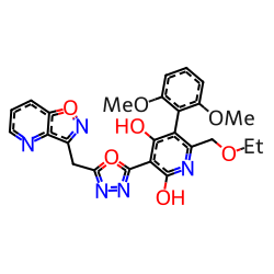 CCOCc1nc(O)c(-c2nnc(Cc3noc4cccnc34)o2)c(O)c1-c1c(OC)cccc1OC